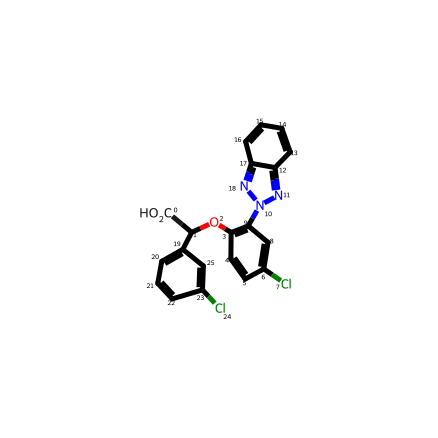 O=C(O)C(Oc1ccc(Cl)cc1-n1nc2ccccc2n1)c1cccc(Cl)c1